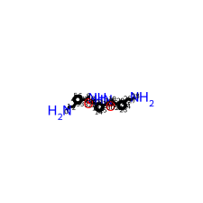 NCCc1cccc(C2CNC(c3cccc(C4NCC(c5cccc(CCN)c5)O4)c3)O2)c1